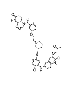 CC(=O)COc1cc2cc(Nc3nc(C#CC4CCCN(CCOc5ccc(C)c(C(=O)N(C=O)C6CCC(=O)NC6=O)c5)C4)ncc3Cl)ccc2n(C)c1=O